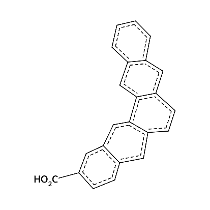 O=C(O)c1ccc2cc3ccc4cc5ccccc5cc4c3cc2c1